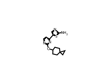 Nc1ncc(-c2ccnc(OC3CCC4(CC3)CC4)n2)s1